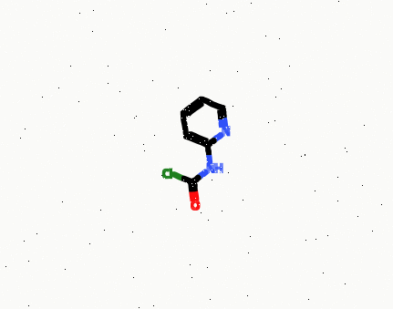 O=C(Cl)Nc1ccccn1